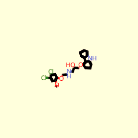 COc1cc(Cl)c(Cl)cc1OCCNCC(O)COc1cccc2[nH]c3ccccc3c12